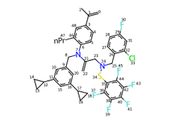 C=C(C)c1ccc(N(Cc2cc(C3CC3)cc(C3CC3)c2)C(=C)CN(Cc2ccc(F)cc2Cl)Sc2c(F)c(F)c(F)c(F)c2F)c(CCC)c1